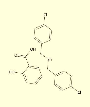 Clc1ccc([CH2][Sn][CH2]c2ccc(Cl)cc2)cc1.O=C(O)c1ccccc1O